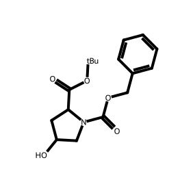 CC(C)(C)OC(=O)C1CC(O)CN1C(=O)OCc1ccccc1